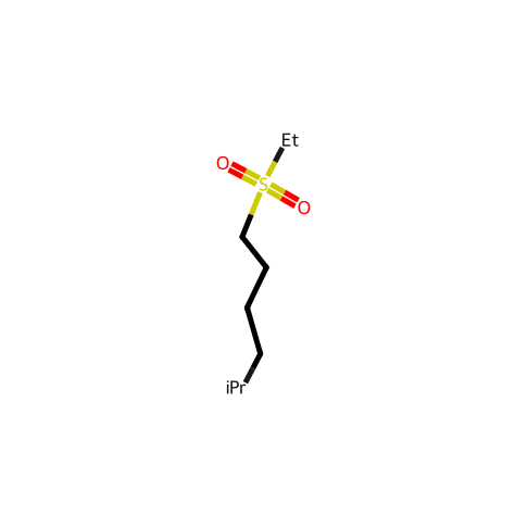 CCS(=O)(=O)CCCCC(C)C